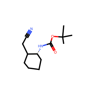 CC(C)(C)OC(=O)N[C@@H]1CCCCC1CC#N